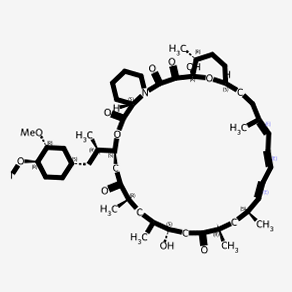 CO[C@@H]1C[C@H](C[C@@H](C)[C@@H]2CC(=O)[C@H](C)CC(C)[C@@H](O)CC(=O)[C@H](C)C[C@H](C)/C=C/C=C/C=C(\C)CC[C@@H]3CC[C@@H](C)[C@@](O)(O3)C(=O)C(=O)N3CCCC[C@H]3C(=O)O2)CC[C@H]1OI